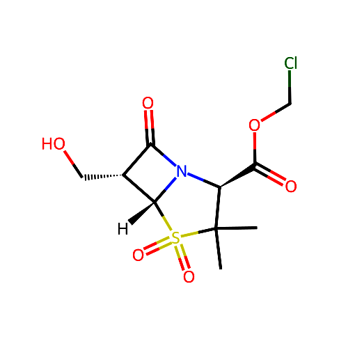 CC1(C)[C@H](C(=O)OCCl)N2C(=O)[C@@H](CO)[C@H]2S1(=O)=O